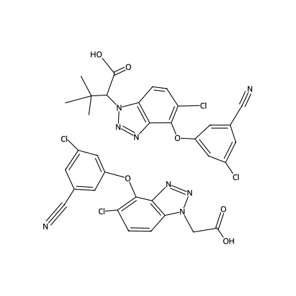 CC(C)(C)C(C(=O)O)n1nnc2c(Oc3cc(Cl)cc(C#N)c3)c(Cl)ccc21.N#Cc1cc(Cl)cc(Oc2c(Cl)ccc3c2nnn3CC(=O)O)c1